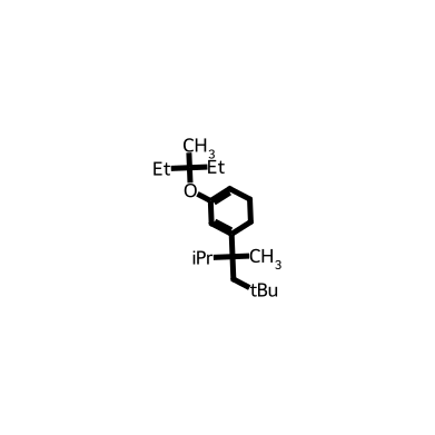 CCC(C)(CC)OC1=CCCC(C(C)(CC(C)(C)C)C(C)C)=C1